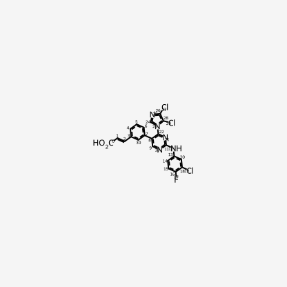 O=C(O)/C=C/c1cccc(-c2cnc(Nc3ccc(F)c(Cl)c3)nc2-n2cnc(Cl)c2Cl)c1